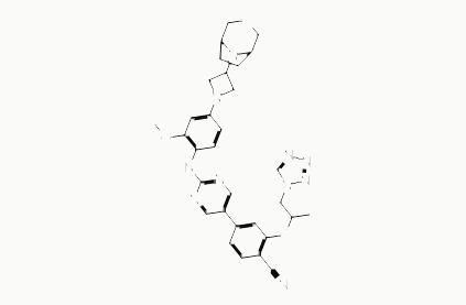 COc1cc(N2CC(N3C4CCC3COC4)C2)ccc1Nc1ncc(-c2ccc(C#N)c(OC(C)Cn3cnnn3)c2)cn1